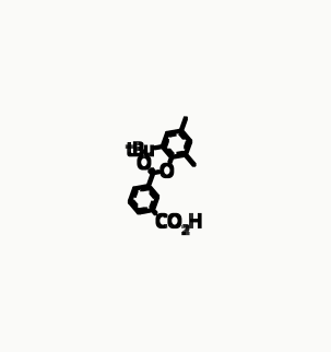 Cc1cc(C)c(OC(=O)c2cccc(C(=O)O)c2)c(C(C)(C)C)c1